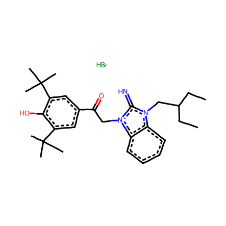 Br.CCC(CC)Cn1c(=N)n(CC(=O)c2cc(C(C)(C)C)c(O)c(C(C)(C)C)c2)c2ccccc21